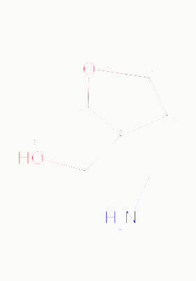 NC[C@@]1(CO)CCOC1